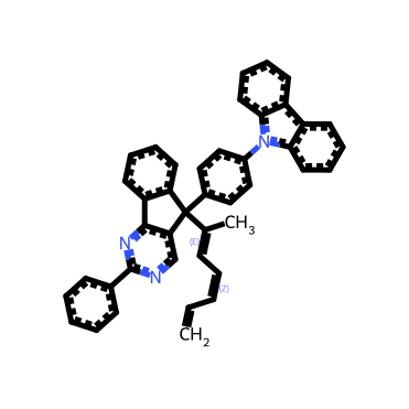 C=C/C=C\C=C(/C)C1(c2ccc(-n3c4ccccc4c4ccccc43)cc2)c2ccccc2-c2nc(-c3ccccc3)ncc21